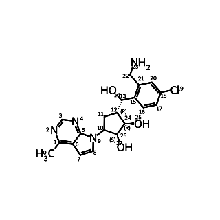 Cc1ncnc2c1ccn2C1C[C@H](C(O)c2ccc(Cl)cc2CN)[C@@H](O)[C@H]1O